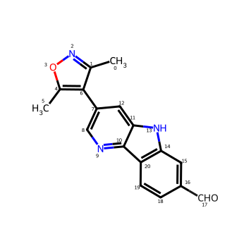 Cc1noc(C)c1-c1cnc2c(c1)[nH]c1cc(C=O)ccc12